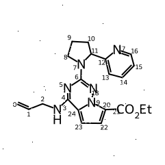 C=CCNc1nc(N2CCCC2c2ccccn2)nn2c(C(=O)OCC)ccc12